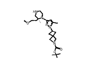 COCC[C@@]1(C)CNCCN1c1cc(C)n(C2CC3(C2)CN(C(=O)OC(C)(C)C)C3)n1